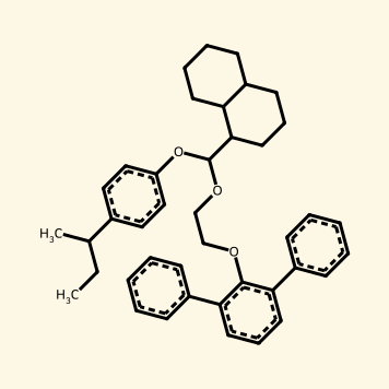 CCC(C)c1ccc(OC(OCCOc2c(-c3ccccc3)cccc2-c2ccccc2)C2CCCC3CCCCC32)cc1